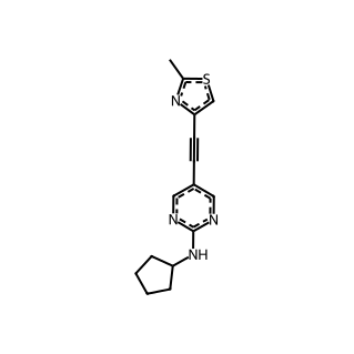 Cc1nc(C#Cc2cnc(NC3CCCC3)nc2)cs1